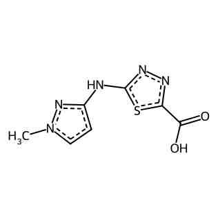 Cn1ccc(Nc2nnc(C(=O)O)s2)n1